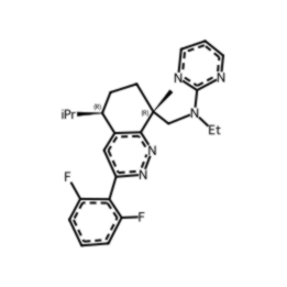 CCN(C[C@@]1(C)CC[C@H](C(C)C)c2cc(-c3c(F)cccc3F)nnc21)c1ncccn1